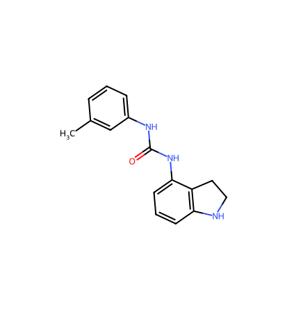 Cc1cccc(NC(=O)Nc2cccc3c2CCN3)c1